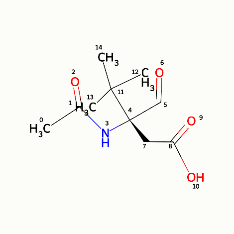 CC(=O)N[C@](C=O)(CC(=O)O)C(C)(C)C